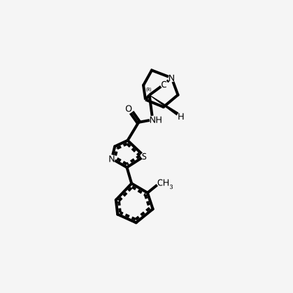 Cc1ccccc1-c1ncc(C(=O)N[C@H]2CN3CCC2CC3)s1